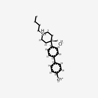 CCCC[Si@H]1CC[C@](C)(c2ccc(-c3cc[c]([Zn+])cc3)cc2)CC1.[Cl-]